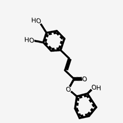 O=C(C=Cc1ccc(O)c(O)c1)Oc1ccccc1O